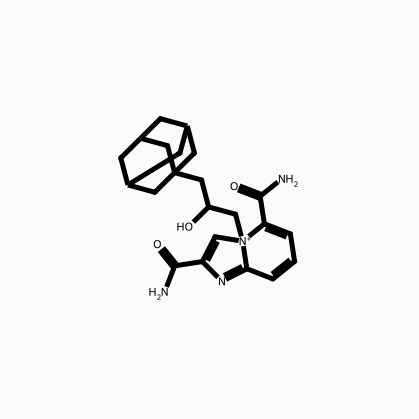 NC(=O)C1=C[N+]2(CC(O)CC34CC5CC(CC(C5)C3)C4)C(C(N)=O)=CC=CC2=N1